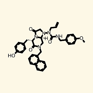 C=CCN(C(=O)NCc1ccc(OC)cc1)N1CC(=O)N2[C@@H](Cc3ccc(O)cc3)C(=O)N(Cc3cccc4ccccc34)C[C@@H]21